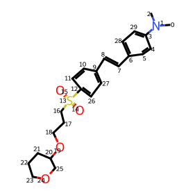 CN(C)c1ccc(C=Cc2ccc(S(=O)(=O)CCCOC3CCCOC3)cc2)cc1